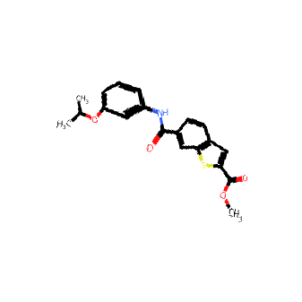 COC(=O)c1cc2ccc(C(=O)Nc3cccc(OC(C)C)c3)cc2s1